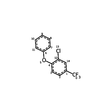 FC(F)(F)c1ccc(Oc2ccccc2)c(Cl)c1